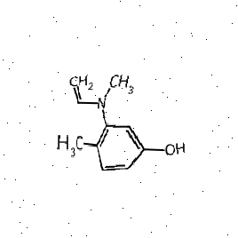 C=CN(C)c1cc(O)ccc1C